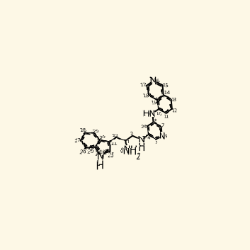 NC(CNc1cncc(Nc2cccc3cnccc23)c1)Cc1c[nH]c2ccccc12